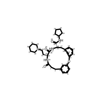 O=C1CCc2cccc(c2)Oc2cccc(c2)C[C@@H](C(=O)NC2CCCC2)NC(=O)[C@H](CCN2CCCCC2)N1